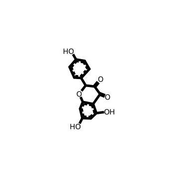 O=C1C(=O)C(c2ccc(O)cc2)Oc2cc(O)cc(O)c21